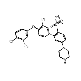 N#Cc1cc(-c2cc(N3CCNCC3)ccc2S(N)(=O)=O)ccc1Oc1ccc(Cl)c(C(F)(F)F)c1